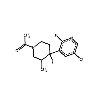 CC(=O)N1CCC(F)(c2cc(Cl)cnc2F)C(C)C1